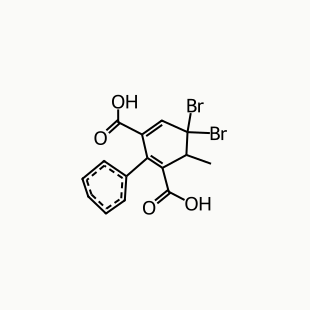 CC1C(C(=O)O)=C(c2ccccc2)C(C(=O)O)=CC1(Br)Br